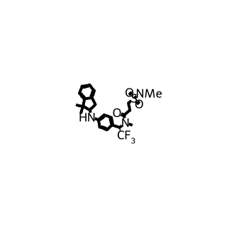 CNS(=O)(=O)CCC(=O)N(C)[C@@H](c1ccc(NC2Cc3ccccc3C2(C)C)cc1)C(F)(F)F